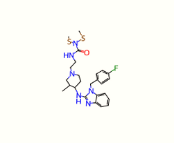 CSN(SC)C(=O)NCCN1CCC(Nc2nc3ccccc3n2Cc2ccc(F)cc2)C(C)C1